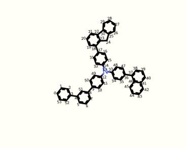 c1ccc(-c2cccc(-c3ccc(N(c4ccc(-c5cccc6c5Cc5ccccc5-6)cc4)c4ccc(-c5cccc6ccccc56)cc4)cc3)c2)cc1